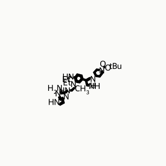 CCNc1ccc(/C(C=N)=C/NC2CCN(C(=O)OC(C)(C)C)CC2)cc1N(CC)C(C)CNc1nc2cc[nH]c2nc1N